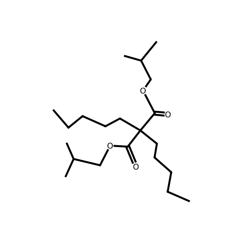 CCCCCC(CCCCC)(C(=O)OCC(C)C)C(=O)OCC(C)C